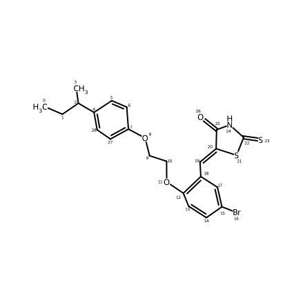 CCC(C)c1ccc(OCCOc2ccc(Br)cc2/C=C2\SC(=S)NC2=O)cc1